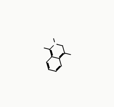 CC1=c2ccccc2=C(C(C)(C)C)CN1C